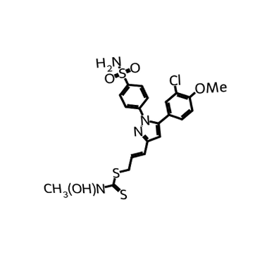 COc1ccc(-c2cc(C=CCSC(=S)N(C)O)nn2-c2ccc(S(N)(=O)=O)cc2)cc1Cl